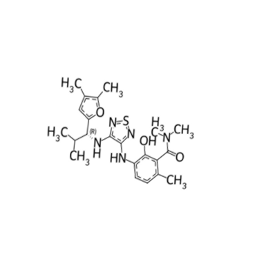 Cc1cc([C@H](Nc2nsnc2Nc2ccc(C)c(C(=O)N(C)C)c2O)C(C)C)oc1C